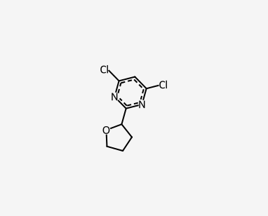 Clc1cc(Cl)nc(C2CCCO2)n1